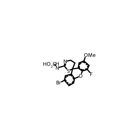 COc1cc(F)c2c(c1)C1(CCN=C(NC(=O)O)S1)c1cc(Br)ccc1O2